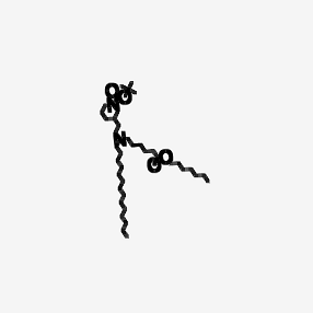 CCCCCCCCCCCCCCN(CCCCCC(=O)OCCCCCCC)CCC1CCCN(C(=O)OC(C)(C)C)C1